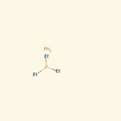 CCP(CC)CC.P